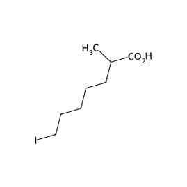 CC(CCCCCI)C(=O)O